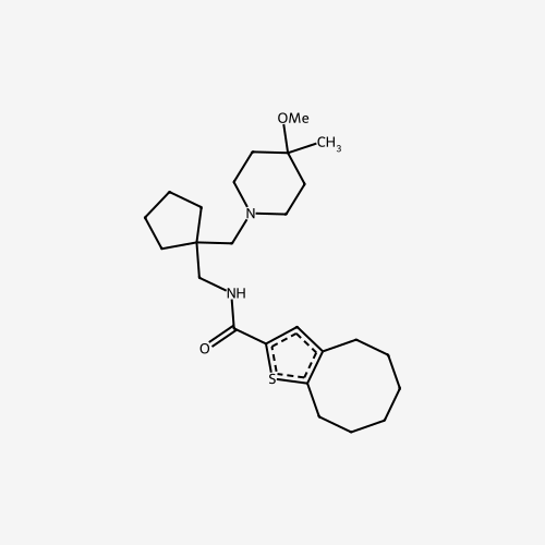 COC1(C)CCN(CC2(CNC(=O)c3cc4c(s3)CCCCCC4)CCCC2)CC1